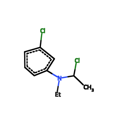 CCN(c1cccc(Cl)c1)C(C)Cl